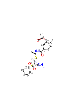 C=C(NC(=O)c1ccc(C)c(OC(C)=O)c1)S/C=C(\N)S(=O)(=O)c1ccccc1